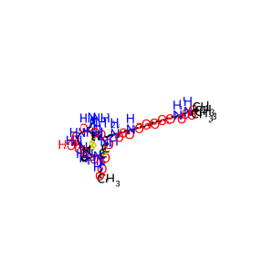 COCCOCCNC(=O)[C@@H]1CSCC(=O)N[C@@H](CCCCNC(=O)COCC(=O)NCCOCCOCCOCCOCCOCCNC(=O)CONC(=O)OC(C)(C)C)C(=O)N[C@H]2CSSC[C@H](NC(=O)[C@H](CC(=O)O)NC(=O)CNC(=O)[C@H](CCCNC(=N)N)NC2=O)C(=O)N[C@@H](Cc2ccccc2)C(=O)N1